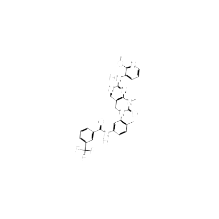 COc1ncccc1Nc1ncc2c(n1)N(C)C(=O)N(c1cc(NC(=O)c3cccc(C(F)(F)F)c3)ccc1C)C2